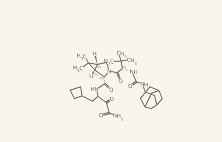 CC(C)(C)[C@H](NC(=O)NC12CC3CC(CC(C3)C1)C2)C(=O)N1C[C@@H]2[C@H]([C@H]1C(=O)NC(CC1CCC1)C(=O)C(N)=O)C2(C)C